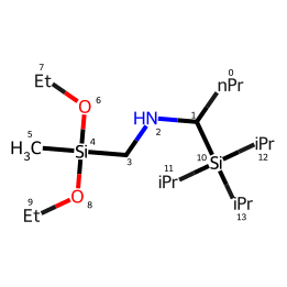 CCCC(NC[Si](C)(OCC)OCC)[Si](C(C)C)(C(C)C)C(C)C